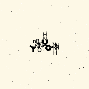 CCCCc1cn(C2C(C)C2C)c(=O)n1CC1(c2cccc(-c3nnn[nH]3)c2)C=CNC=C1